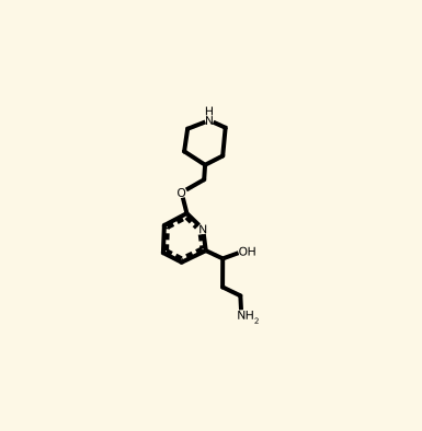 NCCC(O)c1cccc(OCC2CCNCC2)n1